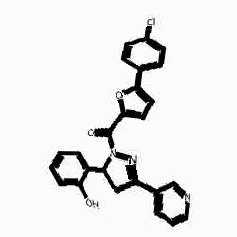 O=C(c1ccc(-c2ccc(Cl)cc2)o1)N1N=C(c2cccnc2)CC1c1ccccc1O